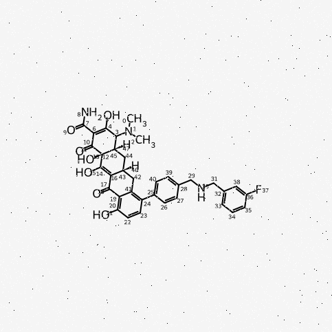 CN(C)C1C(O)=C(C(N)=O)C(=O)[C@@]2(O)C(O)=C3C(=O)c4c(O)ccc(-c5ccc(CNCc6cccc(F)c6)cc5)c4C[C@H]3C[C@@H]12